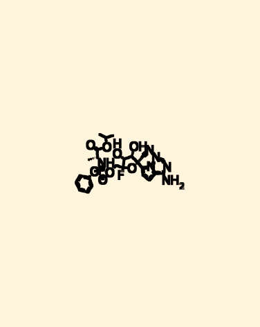 CC(C)OC(=O)[C@@H](C)NP(=O)(OC[C@@]1(F)O[C@@](C#N)(c2ccc3c(N)ncnn23)[C@H](O)[C@@H]1O)Oc1ccccc1